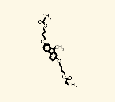 C=CC(=O)OCCCCOc1ccc2c(c1)C(C)c1cc(OCCCCOC(=O)C=C)ccc1-2